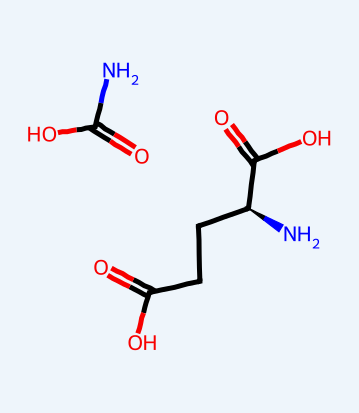 NC(=O)O.N[C@@H](CCC(=O)O)C(=O)O